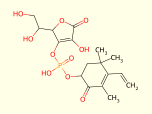 C=CC1=C(C)C(=O)C(OP(=O)(O)OC2=C(O)C(=O)OC2C(O)CO)CC1(C)C